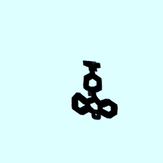 CN(C)C1CCN(C2c3ccccc3Oc3ccccc32)CC1